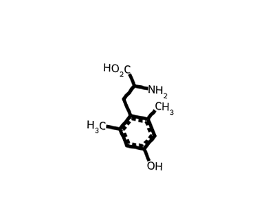 Cc1cc(O)cc(C)c1CC(N)C(=O)O